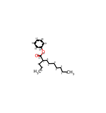 CCCCCCCC(CCC)C(=O)Oc1ccccc1